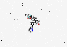 C[C@]12C[C@H](c3ccc(CCc4ccccn4)cc3)C3=C4CCC(=O)C=C4CCC3C1CC[C@@]2(O)C(F)(F)C(F)(F)F